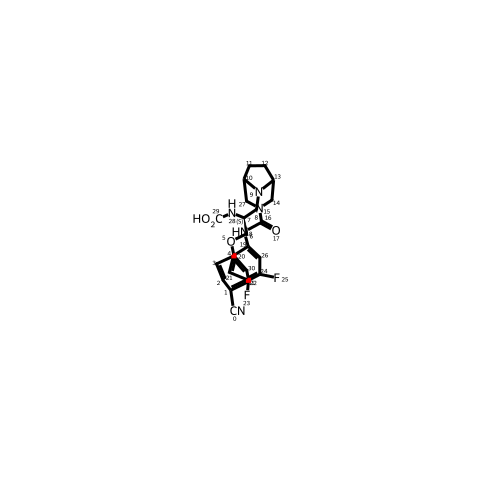 N#Cc1ccc(OC[C@H](CN2C3CCC2CN(C(=O)Nc2ccc(F)c(F)c2)C3)NC(=O)O)cc1